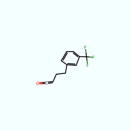 O=C=CCCc1cccc(C(F)(F)F)c1